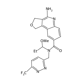 CCC(OC)N(Cc1ccc(C(F)(F)F)nn1)C(=O)c1ccc2nc(N)c3c(c2c1)COC3